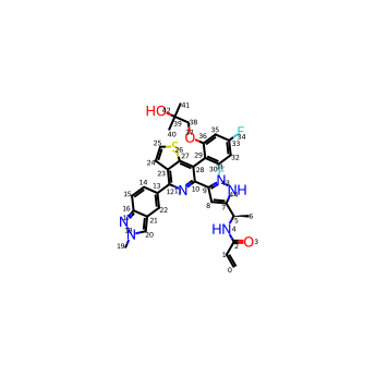 C=CC(=O)N[C@H](C)c1cc(-c2nc(-c3ccc4nn(C)cc4c3)c3ccsc3c2-c2c(F)cc(F)cc2OCC(C)(C)O)n[nH]1